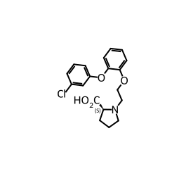 O=C(O)[C@@H]1CCCN1CCOc1ccccc1Oc1cccc(Cl)c1